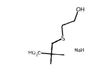 CC(C)(CSCCO)C(=O)O.[NaH]